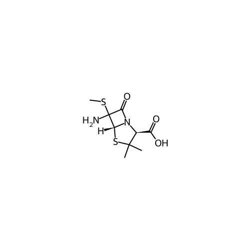 CSC1(N)C(=O)N2[C@@H](C(=O)O)C(C)(C)S[C@@H]21